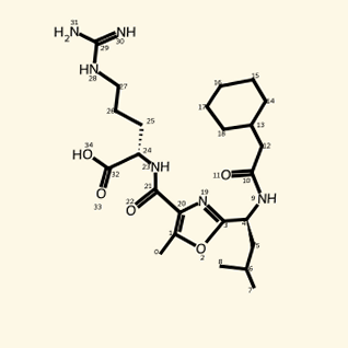 Cc1oc([C@H](CC(C)C)NC(=O)CC2CCCCC2)nc1C(=O)N[C@@H](CCCNC(=N)N)C(=O)O